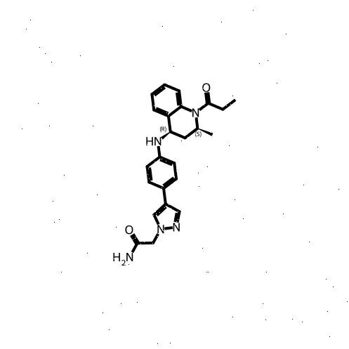 CCC(=O)N1c2ccccc2[C@H](Nc2ccc(-c3cnn(CC(N)=O)c3)cc2)C[C@@H]1C